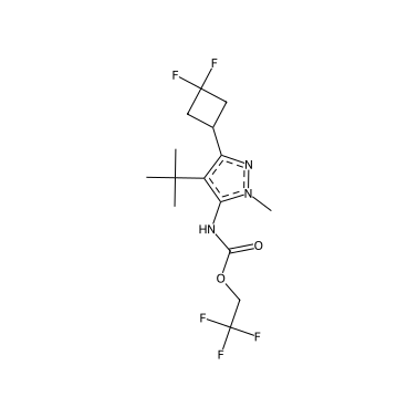 Cn1nc(C2CC(F)(F)C2)c(C(C)(C)C)c1NC(=O)OCC(F)(F)F